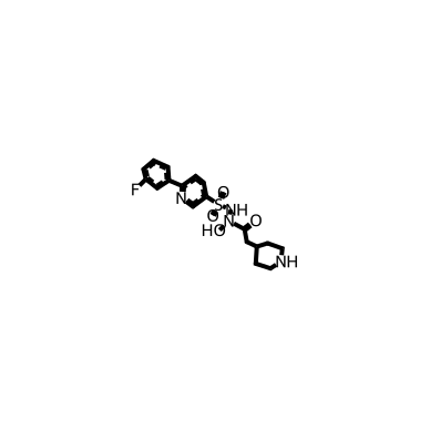 O=C(CC1CCNCC1)N(O)NS(=O)(=O)c1ccc(-c2cccc(F)c2)nc1